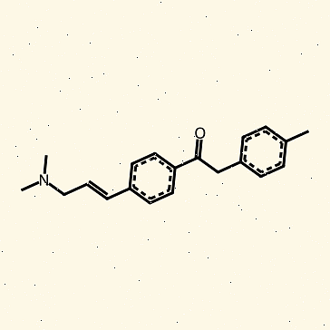 Cc1ccc(CC(=O)c2ccc(C=CCN(C)C)cc2)cc1